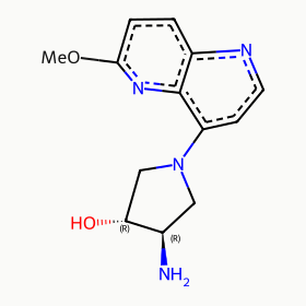 COc1ccc2nccc(N3C[C@@H](N)[C@H](O)C3)c2n1